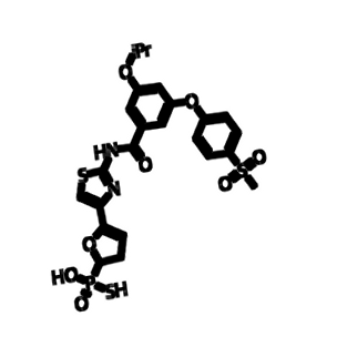 CC(C)Oc1cc(Oc2ccc(S(C)(=O)=O)cc2)cc(C(=O)Nc2nc(C3=CCC(P(=O)(O)S)O3)cs2)c1